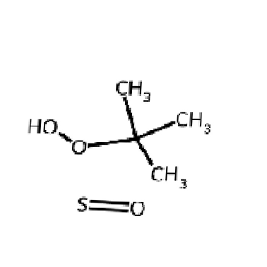 CC(C)(C)OO.O=S